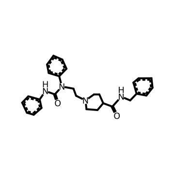 O=C(NCc1ccccc1)C1CCN(CCN(C(=O)Nc2ccccc2)c2ccccc2)CC1